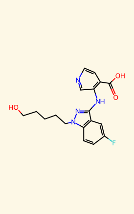 O=C(O)c1ccncc1Nc1nn(CCCCCO)c2ccc(F)cc12